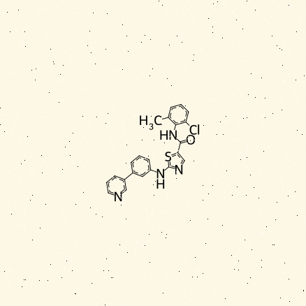 Cc1cccc(Cl)c1NC(=O)c1cnc(Nc2cccc(-c3cccnc3)c2)s1